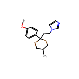 CCOc1ccc(C2(CCn3ccnc3)SCC(C)CS2)cc1